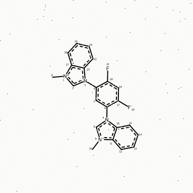 C[n+]1cn(-c2cc(-n3c[n+](C)c4ccccc43)c(F)cc2F)c2ccccc21